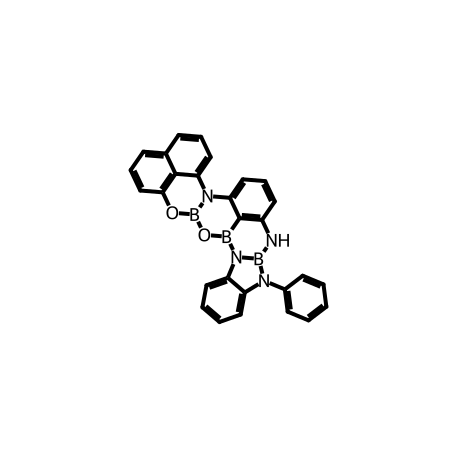 c1ccc(N2B3Nc4cccc5c4B(OB4Oc6cccc7cccc(c67)N45)N3c3ccccc32)cc1